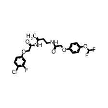 C=C(CCNC(=O)COc1ccc(OC(F)F)cc1)NC(=O)COc1ccc(Cl)c(F)c1